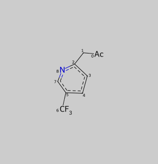 CC(=O)Cc1ccc(C(F)(F)F)cn1